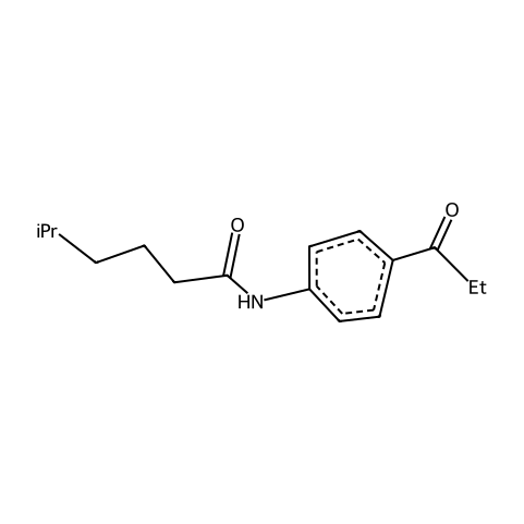 CCC(=O)c1ccc(NC(=O)CCCC(C)C)cc1